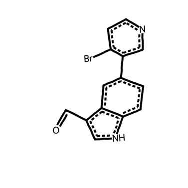 O=Cc1c[nH]c2ccc(-c3cnccc3Br)cc12